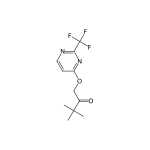 CC(C)(C)C(=O)COc1ccnc(C(F)(F)F)n1